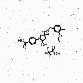 CCOc1cc(CN2CC3(CC(O)N(c4ccc(C(=O)O)cc4)C3)C2)ccc1C.O=C(O)C(F)(F)F